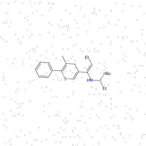 CC/C=C(/NC(CC)CCCC)C1=CSC(c2ccccc2)=C(C)C1